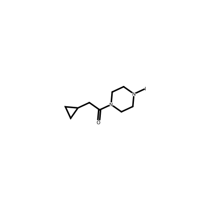 O=C(CC1CC1)N1CCN(I)CC1